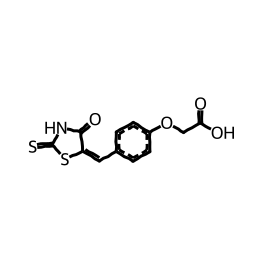 O=C(O)COc1ccc(C=C2SC(=S)NC2=O)cc1